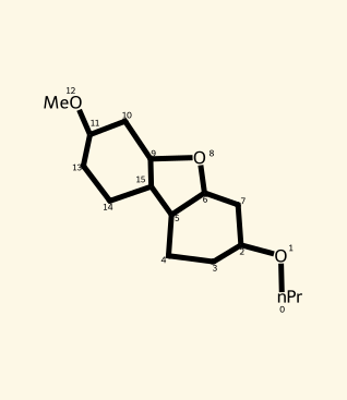 CCCOC1CCC2C(C1)OC1CC(OC)CCC12